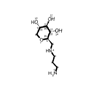 NCCCNC[C@H]1OC[C@H](O)[C@@H](O)[C@@H]1O